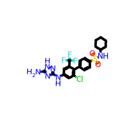 Nc1nc(Nc2cc(Cl)c(-c3ccc(S(=O)(=O)NC4CCCCC4)cc3)c(C(F)(F)F)c2)n[nH]1